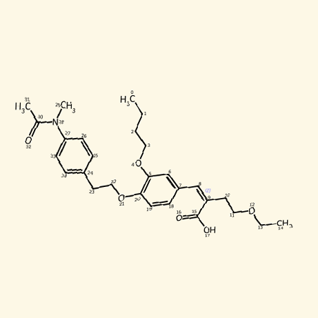 CCCCOc1cc(/C=C(/CCOCC)C(=O)O)ccc1OCCc1ccc(N(C)C(C)=O)cc1